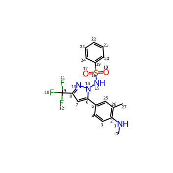 CNc1ccc(-c2cc(C(F)(F)F)nn2NS(=O)(=O)c2ccccc2)cc1C